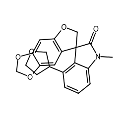 CN1C(=O)C2(COc3cc4c(cc32)OCO4)c2c(C3CCOC3)cccc21